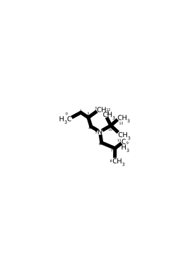 CCC(C)CN(CC(C)C)C(C)(C)C